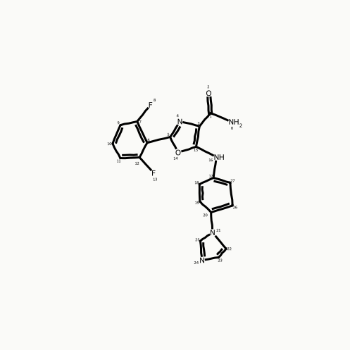 NC(=O)c1nc(-c2c(F)cccc2F)oc1Nc1ccc(-n2ccnc2)cc1